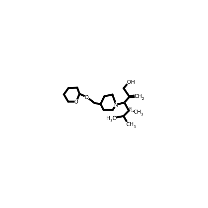 C=C(CO)C([C@H](C)C(C)C)N1CCC(COC2CCCCO2)CC1